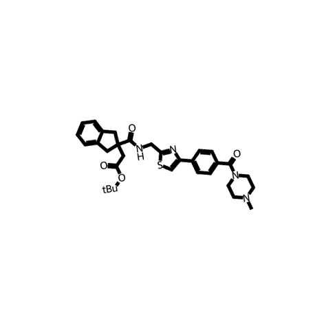 CN1CCN(C(=O)c2ccc(-c3csc(CNC(=O)C4(CC(=O)OC(C)(C)C)Cc5ccccc5C4)n3)cc2)CC1